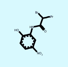 CC(C)C(Br)C(=O)Nc1cc([N+](=O)[O-])ccc1O